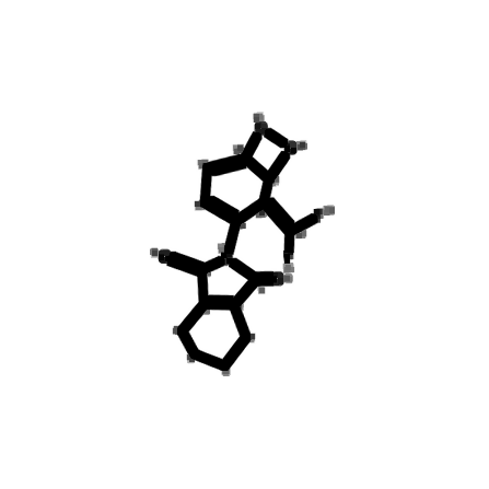 O=C1C2=C(CCCC2)C(=O)N1C1=CC=C2OOC2C1=C(F)F